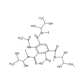 CC(=O)Nc1c(C(=O)N(I)C(O)C(C)O)cc(C(=O)N(I)C(O)C(C)O)c(C(=O)O)c1C(=O)N(I)C(O)C(C)O